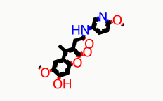 COc1ccc(NC(=O)Cc2c(C)c3cc(OC)c(O)cc3oc2=O)cn1